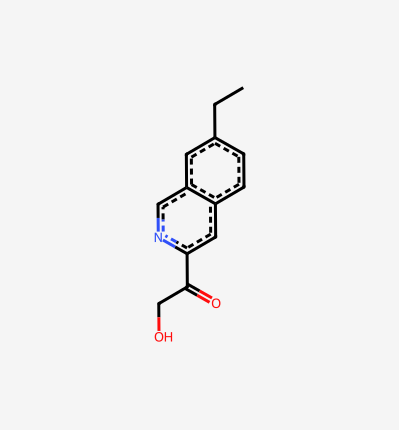 CCc1ccc2cc(C(=O)CO)ncc2c1